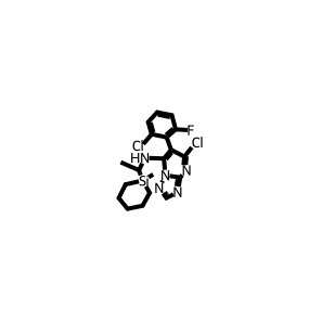 CC(Nc1c(-c2c(F)cccc2Cl)c(Cl)nc2ncnn12)[Si]1(C)CCCCC1